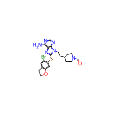 Nc1ncnc2c1nc(Sc1cc3c(cc1Br)CCO3)n2CCC1CCN(C=O)CC1